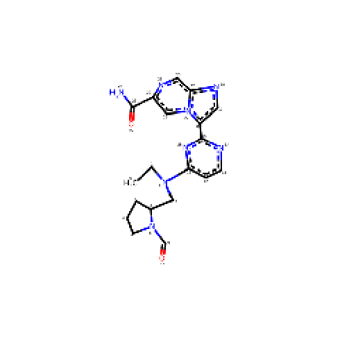 CCN(CC1CCCN1C=O)c1ccnc(-c2cnc3cnc(C(N)=O)cn23)n1